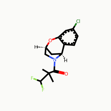 CC(C)(C(=O)N1C[C@@H]2C[C@H]1c1ccc(Cl)cc1O2)C(F)F